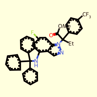 CCC(C(=O)OC)(c1ccc(C(F)(F)F)cc1)n1ncc2c(NC(c3ccccc3)(c3ccccc3)c3ccccc3)cc(F)cc21